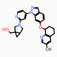 N#Cc1cnc2c(c1)CCCC2Oc1ccc2cnn(-c3ccnc(N4CC5CC5(CO)C4)c3)c2c1